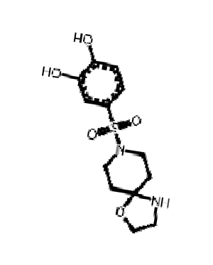 O=S(=O)(c1ccc(O)c(O)c1)N1CCC2(CC1)NCCO2